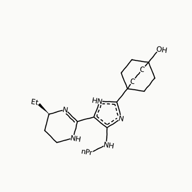 CCCNc1nc(C23CCC(O)(CC2)CC3)[nH]c1C1=N[C@H](CC)CCN1